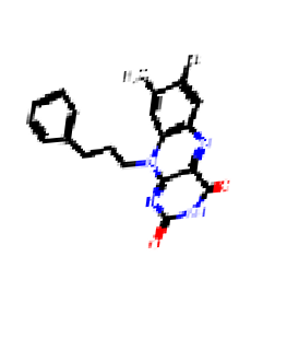 CCc1cc2nc3c(=O)[nH]c(=O)nc-3n(CCCc3ccccc3)c2cc1C